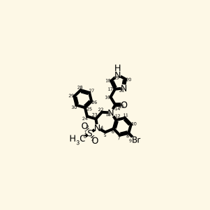 CS(=O)(=O)N1Cc2cc(Br)ccc2N(C(=O)Cc2c[nH]cn2)CC1Cc1ccccc1